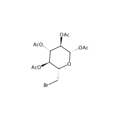 CC(=O)O[C@@H]1O[C@H](CBr)[C@@H](OC(C)=O)[C@H](OC(C)=O)[C@H]1OC(C)=O